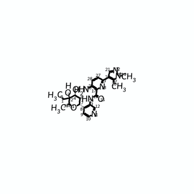 CC[C@]1(O)[C@H](O)C[C@H](c2ccncc2NC(=O)c2nc(-c3cnn(C)c3C)ccc2N)O[C@@H]1C